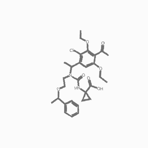 CCOc1cc(C(C)N(CCOC(C)c2ccccc2)C(=O)NC2(C(=O)O)CC2)c(Cl)c(OCC)c1C(C)=O